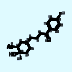 CC(=O)[C@H]1CN(CCCC(=O)c2ccc(F)cc2)CC[C@@]1(C)O